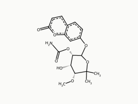 CO[C@@H]1[C@H](O)[C@H](OC(N)=O)C(Oc2ccc3ccc(=O)oc3c2)OC1(C)C